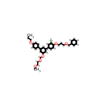 CCCOc1ccc(-c2cc(OCOCCOC)cc(-c3ccc(OCCCOCc4ccccc4)c(F)c3)c2)cc1